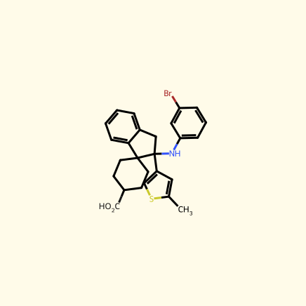 Cc1cc(C2(Nc3cccc(Br)c3)Cc3ccccc3C23CCC(C(=O)O)CC3)cs1